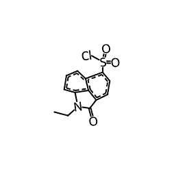 CCN1C(=O)c2ccc(S(=O)(=O)Cl)c3cccc1c23